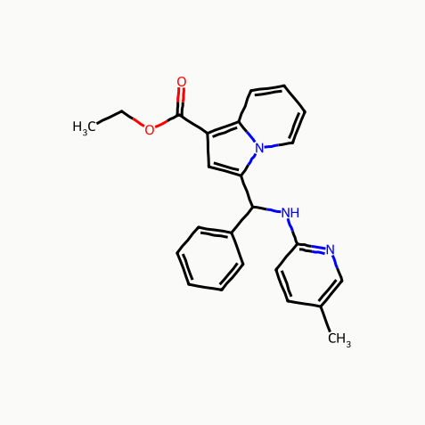 CCOC(=O)c1cc(C(Nc2ccc(C)cn2)c2ccccc2)n2ccccc12